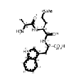 CSCC[C@H](NC(=O)[C@H](C)N)C(=O)N[C@@H](Cc1c[nH]c2ccccc12)C(=O)O